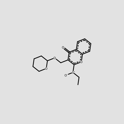 CC[S+]([O-])c1oc2ccccc2c(=O)c1COC1CCCCO1